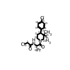 CC(C)[C@@H](NC(=O)CCl)C(=O)N1CCC(c2ccc(Cl)cc2)C(C)(C)C1